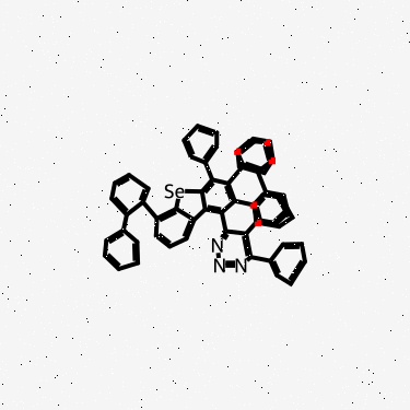 c1ccc(-c2ccccc2-c2c(-c3ccccc3)c(-c3ccccc3)c3[se]c4c(-c5ccccc5-c5ccccc5)cccc4c3c2-c2nnnc(-c3ccccc3)c2-c2ccccc2)cc1